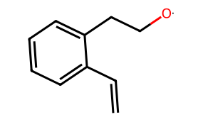 C=Cc1ccccc1CC[O]